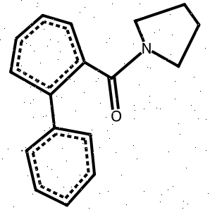 O=C(c1ccccc1-c1[c]cccc1)N1CCCC1